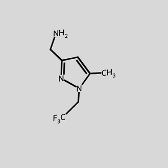 Cc1cc(CN)nn1CC(F)(F)F